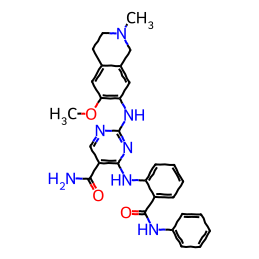 COc1cc2c(cc1Nc1ncc(C(N)=O)c(Nc3ccccc3C(=O)Nc3ccccc3)n1)CN(C)CC2